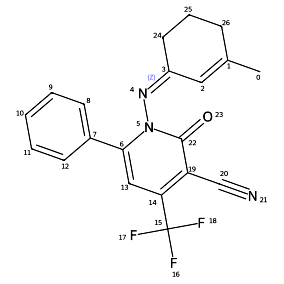 CC1=C/C(=N\n2c(-c3ccccc3)cc(C(F)(F)F)c(C#N)c2=O)CCC1